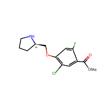 COC(=O)c1cc(Cl)c(OC[C@H]2CCCN2)cc1F